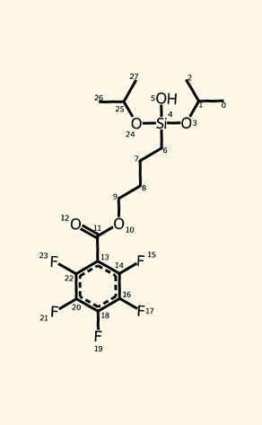 CC(C)O[Si](O)(CCCCOC(=O)c1c(F)c(F)c(F)c(F)c1F)OC(C)C